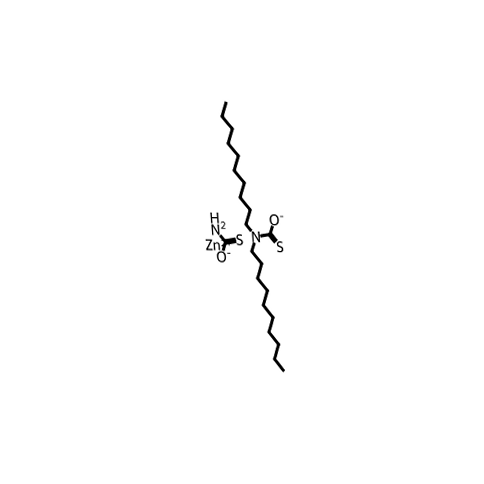 CCCCCCCCCCN(CCCCCCCCCC)C([O-])=S.NC([O-])=S.[Zn+2]